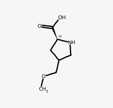 COCC1CN[C@H](C(=O)O)C1